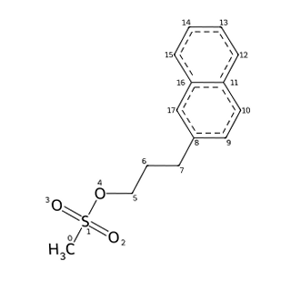 CS(=O)(=O)OCCCc1ccc2ccccc2c1